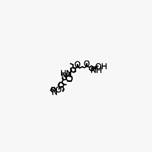 C=Cc1c(Oc2ccccn2)ccc(C2=CN=C3C(Nc4ccc(C(=O)CCCC(=O)C5CCN[C@H](CO)C5)c(CC)c4)=CCC=CC23)c1C